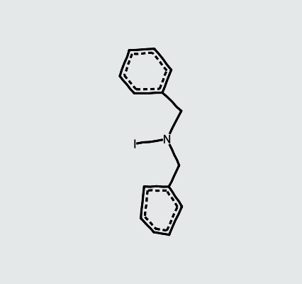 IN(Cc1ccccc1)Cc1ccccc1